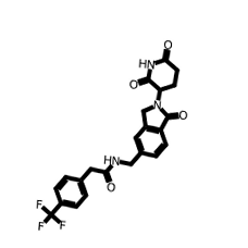 O=C(Cc1ccc(C(F)(F)F)cc1)NCc1ccc2c(c1)CN(C1CCC(=O)NC1=O)C2=O